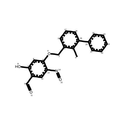 Cc1c(COc2cc(O)c(C=O)cc2N=O)cccc1-c1ccccc1